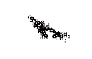 Cc1ccccc1[C@@H]1C[C@](C)(O)CCN1C1CC2(CCN(c3ccc(C(=O)NS(=O)(=O)c4ccc(NCC5CCOCC5)c([N+](=O)[O-])c4)c(N4c5cc6cc[nH]c6nc5O[C@H]5COCC[C@@H]54)c3)CC2)C1